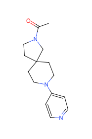 CC(=O)N1CCC2(CCN(c3ccncc3)CC2)C1